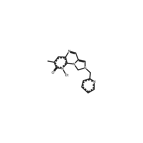 CCn1c2c(cc(C)c1=O)N=CC1=CN(Cc3ccccn3)CN12